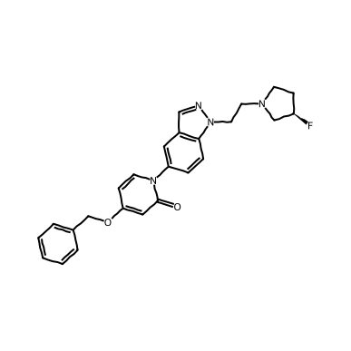 O=c1cc(OCc2ccccc2)ccn1-c1ccc2c(cnn2CCN2CC[C@@H](F)C2)c1